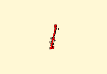 O=C(CNC(=O)CNC(=O)CNC(=O)OCC1c2ccccc2-c2ccccc21)NCCOCCOCCOCCOCCNC(=O)OC1CC/C=C/CCC1